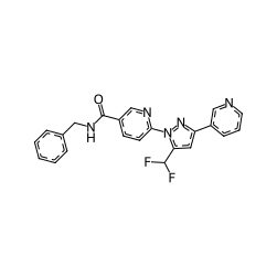 O=C(NCc1ccccc1)c1ccc(-n2nc(-c3cccnc3)cc2C(F)F)nc1